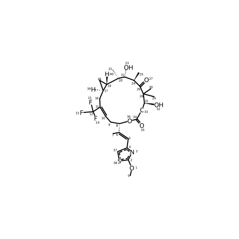 COc1nc(/C=C(\C)[C@@H]2C/C=C(/C(F)(F)F)C[C@H]3C[C@@H]3[C@H](C)[C@H](O)[C@@H](C)C(=O)C(C)(C)[C@@H](O)CC(=O)O2)cs1